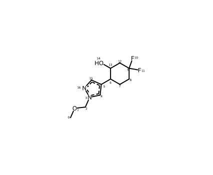 COCn1cc(C2CCC(F)(F)CC2O)cn1